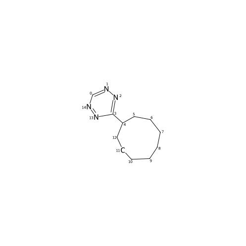 c1nnc(C2CCCCCCCC2)nn1